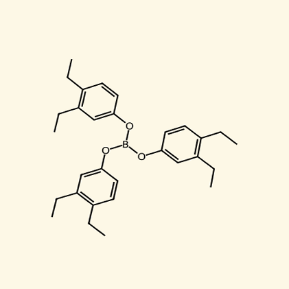 CCc1ccc(OB(Oc2ccc(CC)c(CC)c2)Oc2ccc(CC)c(CC)c2)cc1CC